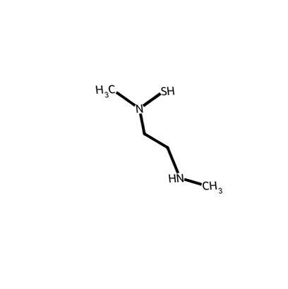 CNCCN(C)S